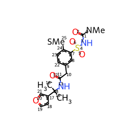 CNC(=O)NS(=O)(=O)c1cc(CC(=O)NC(C)(C)c2ccoc2)ccc1SC